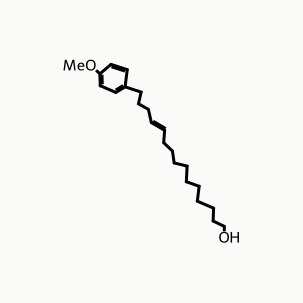 COc1ccc(CCCC=CCCCCCCCCCCO)cc1